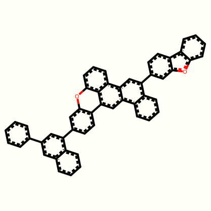 c1ccc(-c2cc(-c3ccc4c(c3)Oc3cccc5c3c-4cc3c4ccccc4c(-c4ccc6c(c4)oc4ccccc46)cc53)c3ccccc3c2)cc1